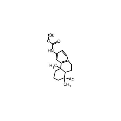 CC(=O)[C@@]1(C)CCC[C@]2(C)c3cc(NC(=O)OC(C)(C)C)ccc3CCC12